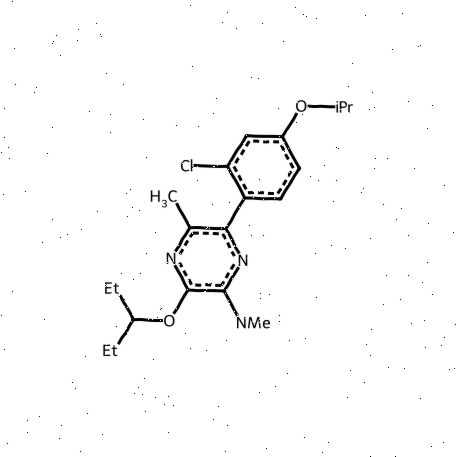 CCC(CC)Oc1nc(C)c(-c2ccc(OC(C)C)cc2Cl)nc1NC